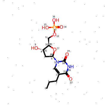 CCCc1cn([C@H]2C[C@H](O)[C@@H](COP(=O)(O)O)O2)c(=O)[nH]c1=O